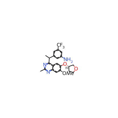 COc1cc2nc(C)nc(C(C)c3cc(N)cc(C(F)(F)F)c3)c2cc1O[C@H]1CCOC1